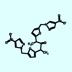 CC(C(=O)C(C)c1ccc(Cn2cc([N+](=O)[O-])cn2)o1)c1ccc(Cn2cc([N+](=O)[O-])cn2)o1